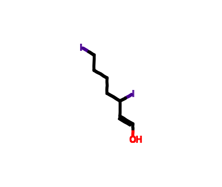 OC=CC(I)CCCCI